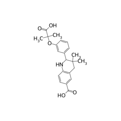 CC(C)(Oc1cccc(C2Nc3ccc(C(=O)O)cc3CC2(C)C)c1)C(=O)O